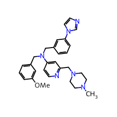 COc1cccc(CN(Cc2cccc(-n3ccnc3)c2)c2ccnc(CN3CCN(C)CC3)c2)c1